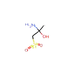 [CH2]C(N)(O)C[SH](=O)=O